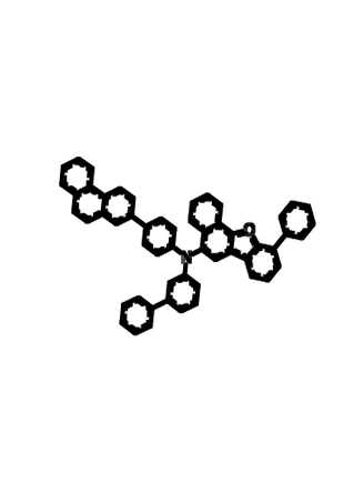 c1ccc(-c2cccc(N(c3ccc(-c4ccc5c(ccc6ccccc65)c4)cc3)c3cc4c5cccc(-c6ccccc6)c5oc4c4ccccc34)c2)cc1